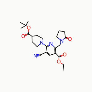 CCOC(=O)c1cc(C#N)c(N2CCC(C(=O)OC(C)(C)C)CC2)nc1CN1CCCC1=O